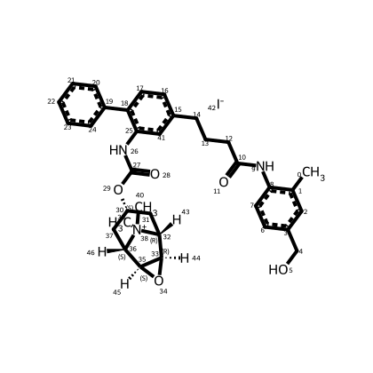 Cc1cc(CO)ccc1NC(=O)CCCc1ccc(-c2ccccc2)c(NC(=O)O[C@@H]2C[C@@H]3[C@H]4O[C@H]4[C@H](C2)[N+]3(C)C)c1.[I-]